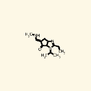 CCC1=NC2C/C(=C\NC)C(=O)C2N1C(C)C